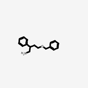 NCC(CCOCc1ccccc1)c1ccccc1